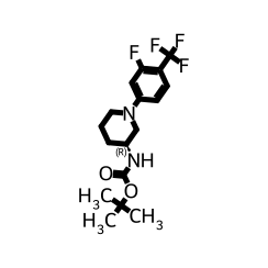 CC(C)(C)OC(=O)N[C@@H]1CCCN(c2ccc(C(F)(F)F)c(F)c2)C1